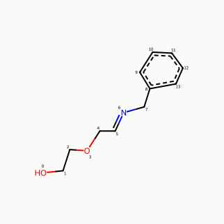 OCCOCC=NCc1ccccc1